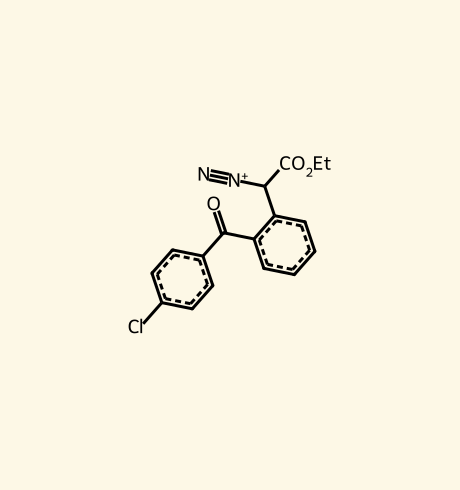 CCOC(=O)C([N+]#N)c1ccccc1C(=O)c1ccc(Cl)cc1